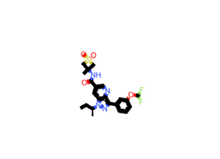 CC[C@H](C)n1nc(-c2cccc(OC(F)F)c2)c2ncc(C(=O)NC3(C)CS(=O)(=O)C3)cc21